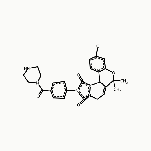 CC1(C)Oc2cc(O)ccc2C2C1=CCn1c(=O)n(-c3ccc(C(=O)N4CCNCC4)cc3)c(=O)n12